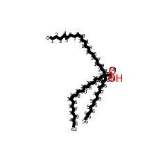 CCCCCCCC/C=C\CCCCCCCCCCCCC(CCCCCCCCCC/C=C\CCCCCCCC)(CCCCCCCCCCCCCC)C(=O)O